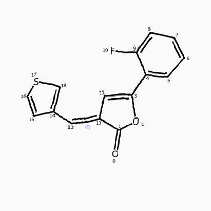 O=C1OC(c2ccccc2F)=C/C1=C\c1ccsc1